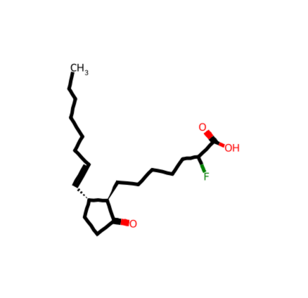 CCCCCCC=C[C@H]1CCC(=O)[C@@H]1CCCCCC(F)C(=O)O